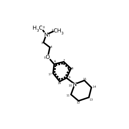 CN(C)CCOc1ccc(N2CCCCC2)cc1